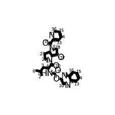 CC(C)CC(NC(=O)Oc1cnc2ccccc2n1)C(=O)N1CCC2C1C(=O)CN2C(=O)c1ccccn1